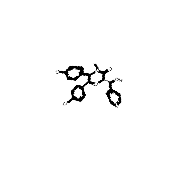 CN1C(=O)[C@H](C(O)c2ccncc2)OC(c2ccc(Cl)cc2)C1c1ccc(Cl)cc1